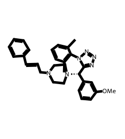 COc1cccc([C@@H](c2nnnn2-c2c(C)cccc2C)N2CCN(C/C=C/c3ccccc3)CC2)c1